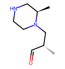 C[C@H](C=O)CN1CCNC[C@H]1C